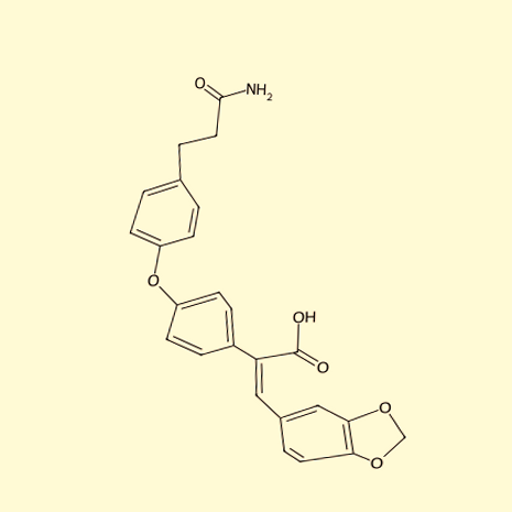 NC(=O)CCc1ccc(Oc2ccc(C(=Cc3ccc4c(c3)OCO4)C(=O)O)cc2)cc1